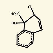 O=C(O)C1(O)c2ccccc2C=CC1Cl